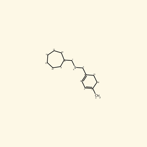 CC1=CC=C(CSCC2CCCCCC2)CC1